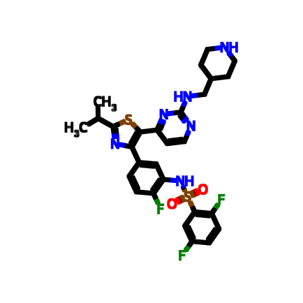 CC(C)c1nc(-c2ccc(F)c(NS(=O)(=O)c3cc(F)ccc3F)c2)c(-c2ccnc(NCC3CCNCC3)n2)s1